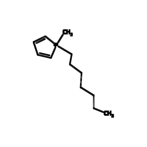 CCCCCCC[P]1(C)C=CC=C1